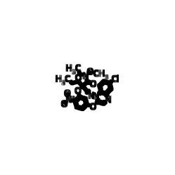 CCC(=O)C(C#N)(Oc1cc(Oc2cnc3cc(Cl)ccc3n2)ccc1[N+](=O)[O-])C(=O)N(CC)OC